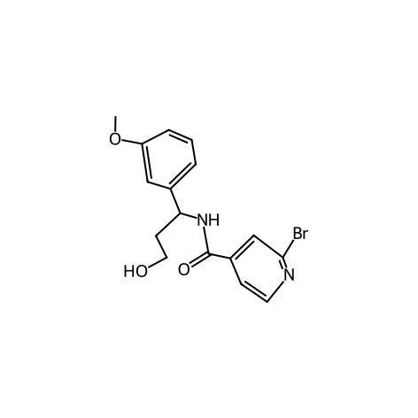 COc1cccc(C(CCO)NC(=O)c2ccnc(Br)c2)c1